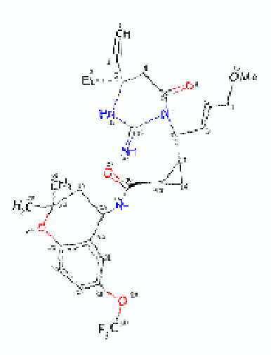 C#C[C@@]1(CC)CC(=O)N(C(/C=C/COC)[C@@H]2C[C@H]2C(=O)NC2CC(C)(C)Oc3ccc(OC(F)(F)F)cc32)C(=N)N1